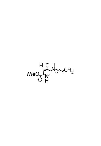 C=CCON[C@H]1CN[C@H](C(=O)OC)C=C1C